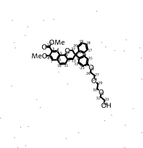 COC(=O)c1cc2c(cc1OC)C=CC1=CC(c3ccccc3)(c3ccc(OCCOCCOCCO)cc3)COC12